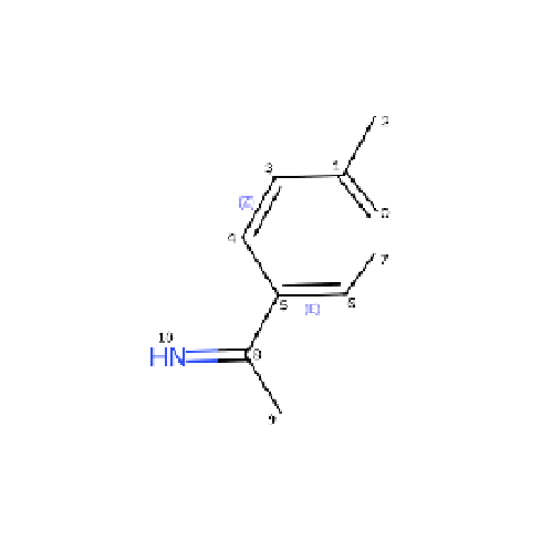 C=C(C)/C=C\C(=C/C)C(C)=N